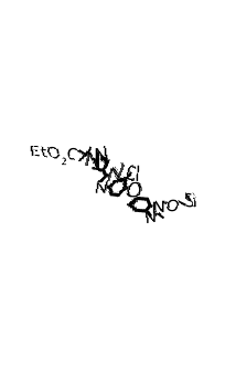 CCOC(=O)CC(C)(C)n1cc(-c2cnc3ccc(Oc4ccc5nc(C)n(COCC[Si](C)(C)C)c5c4)c(Cl)c3n2)cn1